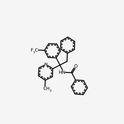 Cc1ccnc(C(Cc2ccccc2)(NC(=O)c2ccccc2)c2cccc(C(F)(F)F)c2)c1